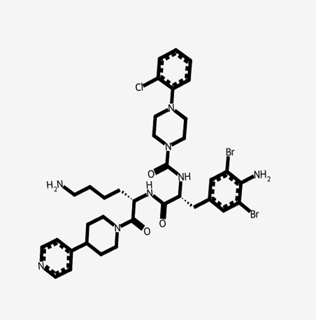 NCCCC[C@H](NC(=O)[C@@H](Cc1cc(Br)c(N)c(Br)c1)NC(=O)N1CCN(c2ccccc2Cl)CC1)C(=O)N1CCC(c2ccncc2)CC1